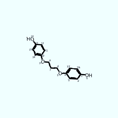 Oc1ccc(OCCCOc2ccc(O)cc2)cc1